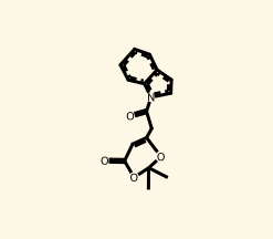 CC1(C)OC(=O)C=C(CC(=O)n2ccc3ccccc32)O1